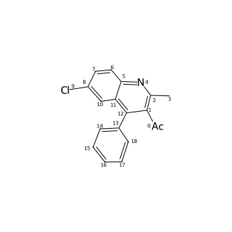 CC(=O)c1c(C)nc2ccc(Cl)cc2c1-c1ccccc1